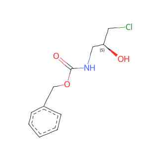 O=C(NC[C@H](O)CCl)OCc1ccccc1